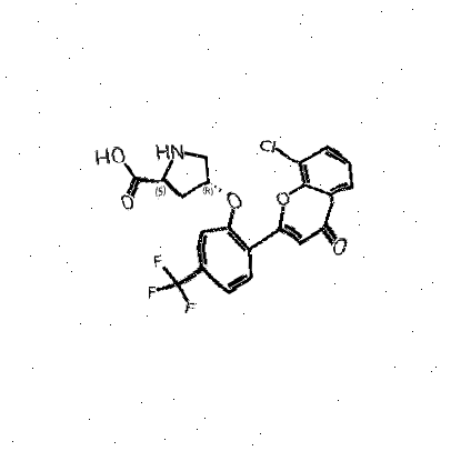 O=C(O)[C@@H]1C[C@@H](Oc2cc(C(F)(F)F)ccc2-c2cc(=O)c3cccc(Cl)c3o2)CN1